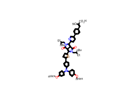 CCCCCCOc1ccc(N(c2ccc(OCCCCCC)cc2)c2ccc(-c3ccc(C4=C5C(=O)N(CC(CC)CCCC)C(c6ccc(-c7ccc(/C=C(\C#N)C(=O)O)cc7)cn6)=C5C(=O)N4CC(CC)CCCC)s3)cc2)cc1